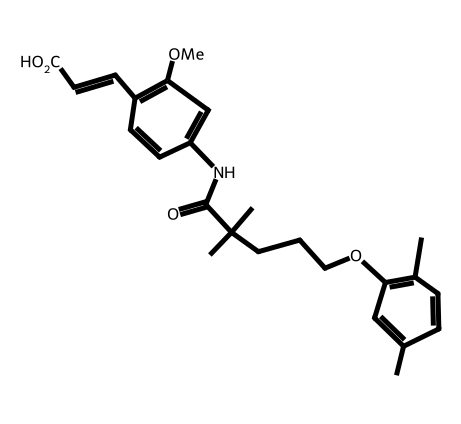 COc1cc(NC(=O)C(C)(C)CCCOc2cc(C)ccc2C)ccc1/C=C/C(=O)O